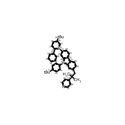 CC(C)(C)c1ccc(-n2c3cc(CC(C)(C)c4ccncc4)ccc3c3ccc(-[n+]4cc(C(C)(C)C)ccc4-c4ccccc4)cc32)cc1